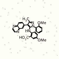 COc1ccc(Nc2c(-c3ccc4nccnc4c3)c(C)nn2-c2ccccc2OC)c(C(=O)O)c1